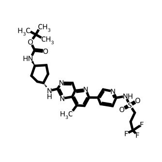 Cc1cc(-c2ccc(NS(=O)(=O)CCC(F)(F)F)nc2)nc2cnc(N[C@H]3CC[C@H](NC(=O)OC(C)(C)C)CC3)nc12